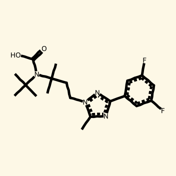 Cc1nc(-c2cc(F)cc(F)c2)nn1CCC(C)(C)N(C(=O)O)C(C)(C)C